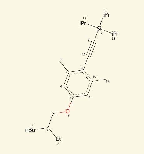 CCCCC(CC)COc1cc(C)c(C#C[Si](C(C)C)(C(C)C)C(C)C)c(C)c1